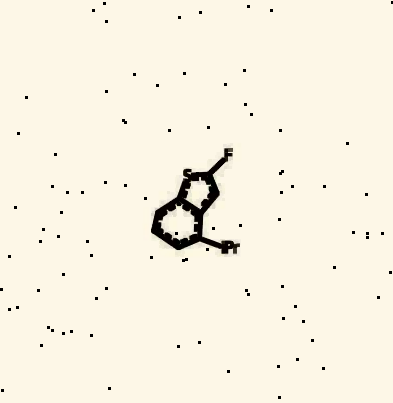 CC(C)c1cccc2sc(F)cc12